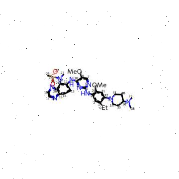 CCc1cc(Nc2ncc(OC)c(Nc3ccc4nccnc4c3N(C)S(C)(=O)=O)n2)c(OC)cc1N1CCC(N(C)C)CC1